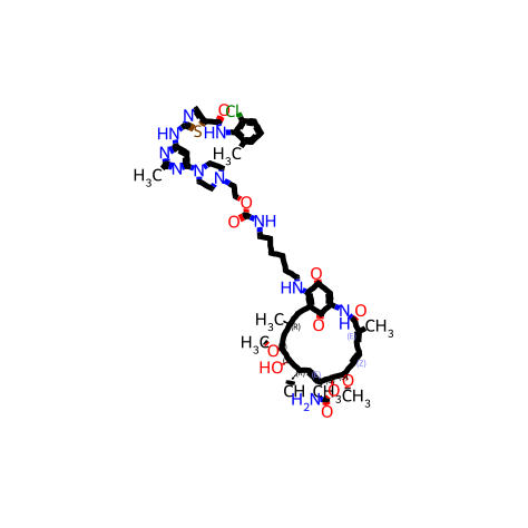 C#C[C@H]1/C=C(\C)[C@H](OC(N)=O)[C@@H](OC)/C=C\C=C(/C)C(=O)NC2=CC(=O)C(NCCCCCCNC(=O)OCCN3CCN(c4cc(Nc5ncc(C(=O)Nc6c(C)cccc6Cl)s5)nc(C)n4)CC3)=C(C[C@@H](C)C[C@H](OC)[C@H]1O)C2=O